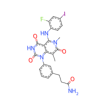 Cc1c(=O)n(C)c(Nc2ccc(I)cc2F)c2c(=O)[nH]c(=O)n(-c3cccc(CCC(N)=O)c3)c12